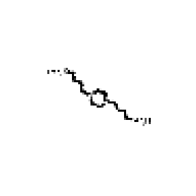 O=S(=O)(O)CCCCN1CCN(CCCCS(=O)(=O)O)CC1